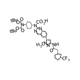 Cn1nc(NC(=O)Cc2cccc(C(F)(F)F)c2)cc1-c1ccc2nc(N(C(=O)O)[C@H]3CC[C@H](N(C(=O)OC(C)(C)C)C(=O)OC(C)(C)C)CC3)ncc2c1